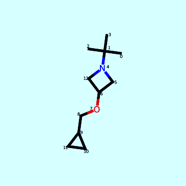 CC(C)(C)N1CC(OCC2CC2)C1